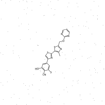 Cc1nc(COc2ncccn2)sc1-c1nc(-c2cc(O)c(C#N)c(F)c2)cs1